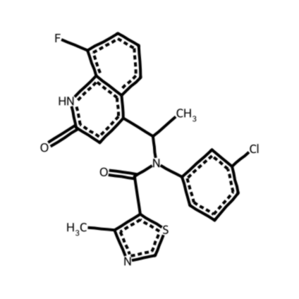 Cc1ncsc1C(=O)N(c1cccc(Cl)c1)C(C)c1cc(=O)[nH]c2c(F)cccc12